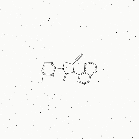 Cc1ccnc(N2CC(C#N)N(c3cncc4ccccc34)C2=O)n1